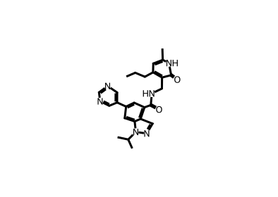 CCCc1cc(C)[nH]c(=O)c1CNC(=O)c1cc(-c2cncnc2)cc2c1cnn2C(C)C